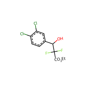 CCOC(=O)C(F)(F)C(O)c1ccc(Cl)c(Cl)c1